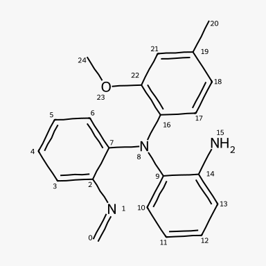 C=Nc1ccccc1N(c1ccccc1N)c1ccc(C)cc1OC